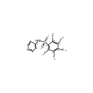 O=S(=O)(Nc1ccncc1)c1c(F)c(F)c(F)c(F)c1F